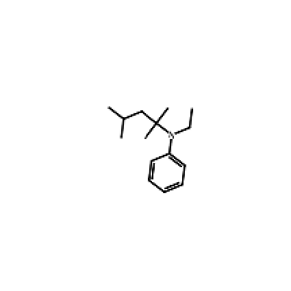 CCN(c1ccccc1)C(C)(C)CC(C)C